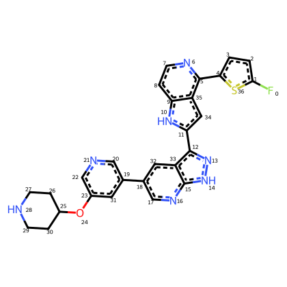 Fc1ccc(-c2nccc3[nH]c(-c4n[nH]c5ncc(-c6cncc(OC7CCNCC7)c6)cc45)cc23)s1